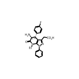 CCN1C(=O)[C@@H](N)[C@H](c2ccc(F)cc2)c2c(CC(=O)O)nn(-c3ccccc3)c21